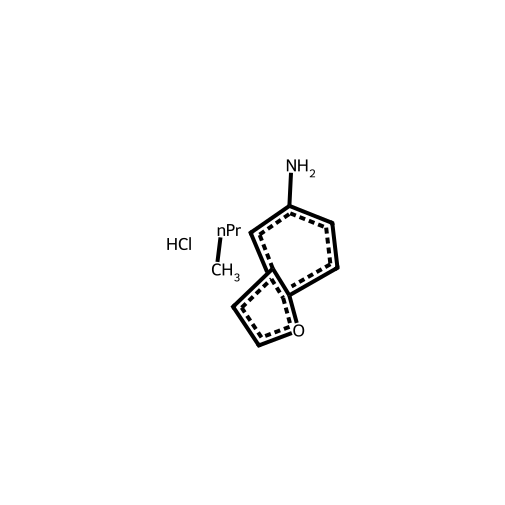 CCCC.Cl.Nc1ccc2occc2c1